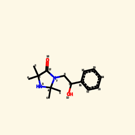 CC1(C)NC(C)(C)N(CC(O)c2ccccc2)C1=O